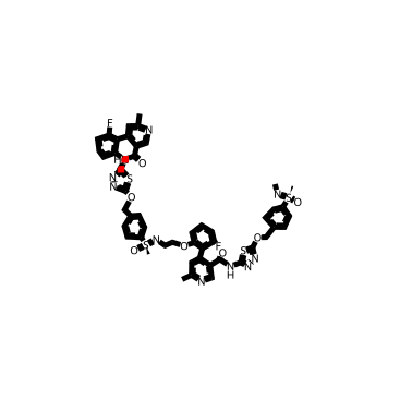 CN=[S@@](C)(=O)c1ccc(COc2nnc(NC(=O)c3cnc(C)cc3-c3c(F)cccc3OCCN=[S@](C)(=O)c3ccc(COc4nnc(NC(=O)c5cnc(C)cc5-c5c(F)cccc5OC)s4)cc3)s2)cc1